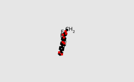 C=CCc1ccc(-c2ccc(-c3ccc(C4=CCC(C5CCCCC5)CC4)c(F)c3F)cc2)c(F)c1F